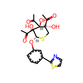 CC(=O)[C@]1(O)[C@@](O)(C(C)=O)CS[C@H](Oc2cccc(-c3nccs3)c2)[C@@]1(O)C(C)=O